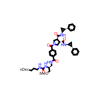 CCCCCCCCCCCCCNC(=O)N[C@@H](CNC(=O)c1ccc(C(=O)N2C[C@@H](C(=O)N[C@H]3C[C@@H]3c3ccccc3)[C@H](C(=O)N[C@H]3C[C@@H]3c3ccccc3)C2)cc1)COC